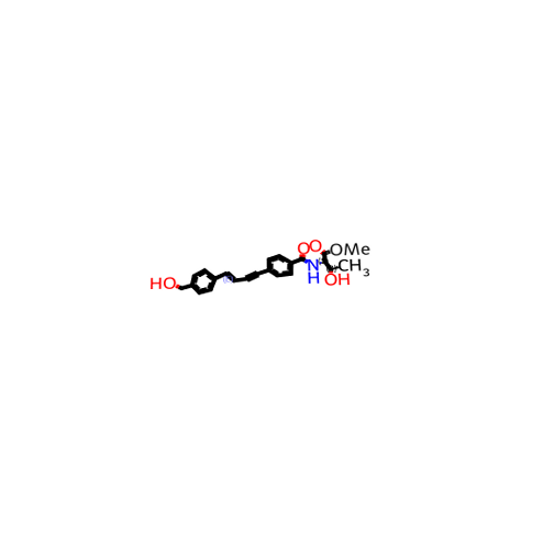 COC(=O)[C@@H](NC(=O)c1ccc(C#C/C=C/c2ccc(CO)cc2)cc1)[C@@H](C)O